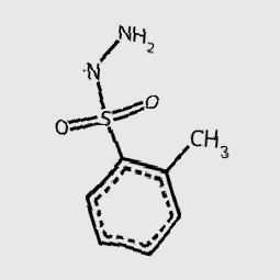 Cc1ccccc1S(=O)(=O)[N]N